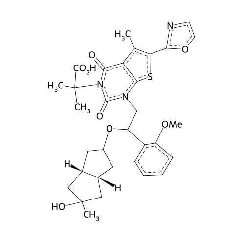 COc1ccccc1C(Cn1c(=O)n(C(C)(C)C(=O)O)c(=O)c2c(C)c(-c3ncco3)sc21)OC1C[C@@H]2CC(C)(O)C[C@@H]2C1